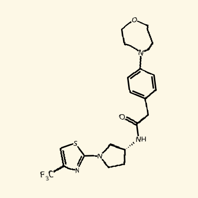 O=C(Cc1ccc(N2CCOCC2)cc1)N[C@@H]1CCN(c2nc(C(F)(F)F)cs2)C1